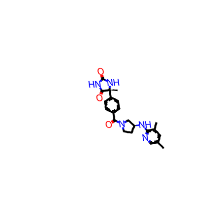 Cc1cnc(N[C@H]2CCN(C(=O)c3ccc([C@@]4(C)NC(=O)NC4=O)cc3)C2)c(C)c1